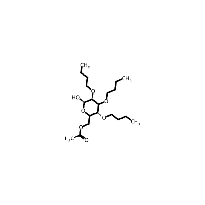 CCCCOC1[C@H](OCCCC)C(COC(C)=O)O[C@@H](O)[C@H]1OCCCC